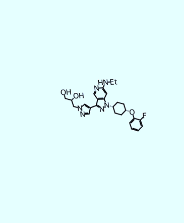 CCNc1cc2c(cn1)c(-c1cnn(C[C@H](O)CO)c1)nn2[C@H]1CC[C@@H](Oc2ccccc2F)CC1